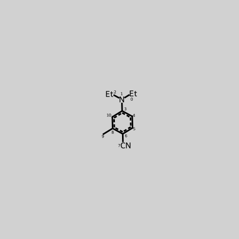 CCN(CC)c1ccc(C#N)c(C)c1